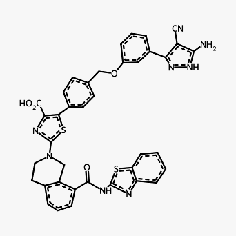 N#Cc1c(-c2cccc(OCc3ccc(-c4sc(N5CCc6cccc(C(=O)Nc7nc8ccccc8s7)c6C5)nc4C(=O)O)cc3)c2)n[nH]c1N